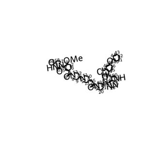 COc1ccc(C(=O)N2CCC(N3CCC(CC(=O)N4CCC[C@H](Nc5ncnc6[nH]cc(C(=O)c7ccc(Oc8ccccc8)cc7Cl)c56)C4)CC3)CC2)cc1N1CCC(=O)NC1=O